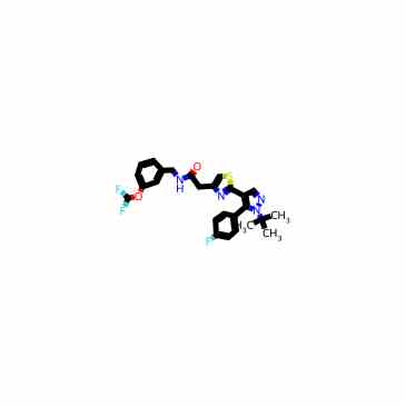 CC(C)(C)n1ncc(-c2nc(CC(=O)NCc3cccc(OC(F)F)c3)cs2)c1-c1ccc(F)cc1